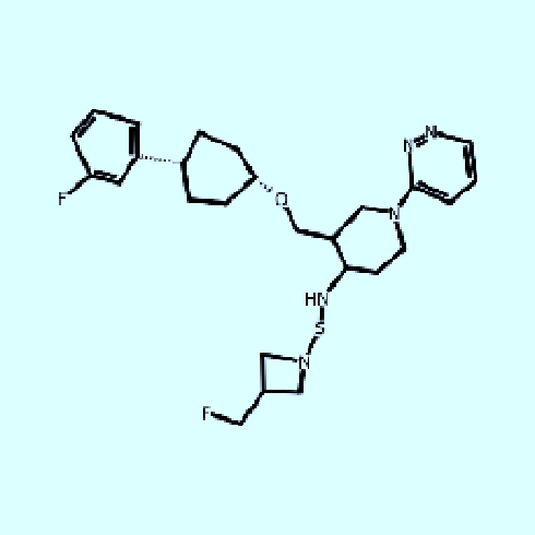 FCC1CN(SNC2CCN(c3cccnn3)CC2CO[C@H]2CC[C@@H](c3cccc(F)c3)CC2)C1